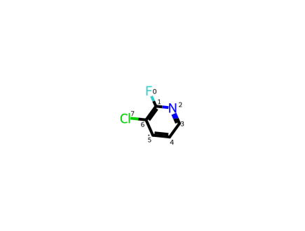 Fc1ncc[c]c1Cl